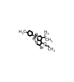 CCCOc1c(Br)cnc2c1c(C(C)C)cn2S(=O)(=O)c1ccc(C)cc1